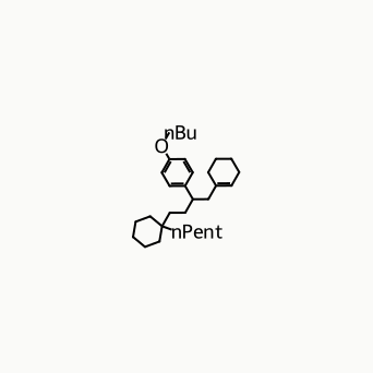 CCCCCC1(CCC(CC2=CCCCC2)c2ccc(OCCCC)cc2)CCCCC1